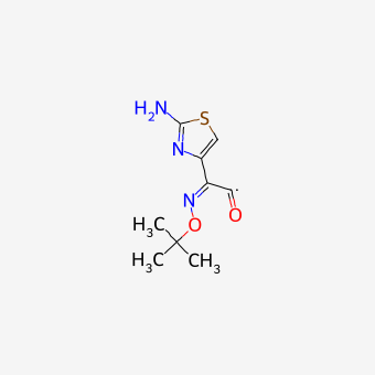 CC(C)(C)O/N=C(\[C]=O)c1csc(N)n1